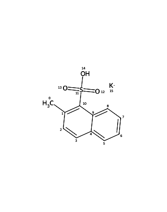 Cc1ccc2ccccc2c1S(=O)(=O)O.[K]